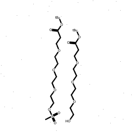 CC(C)(C)OC(=O)CCOCCOCCOCCO.CC(C)(C)OC(=O)CCOCCOCCOCCOS(C)(=O)=O